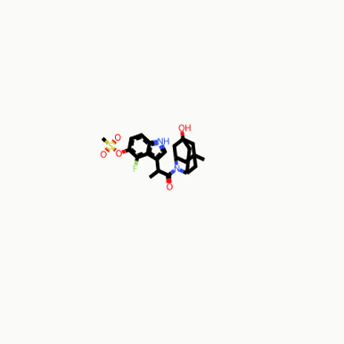 CC(C(=O)N1C2CC3(C)CC1CC(O)(C2)C3)c1c[nH]c2ccc(OS(C)(=O)=O)c(F)c12